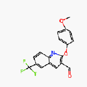 COc1ccc(Oc2nc3ccc(C(F)(F)F)cc3cc2C=O)cc1